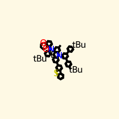 Cc1cc2c3c(c1)N(c1cccc4c1OCCCO4)c1ccc(C(C)(C)C)cc1B3c1ccc(-c3ccc4c(c3)sc3ccccc34)cc1N2c1cc(-c2ccc(C(C)(C)C)cc2)cc(-c2ccc(C(C)(C)C)cc2)c1